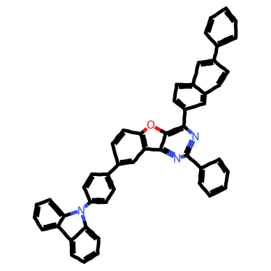 c1ccc(-c2ccc3cc(-c4nc(-c5ccccc5)nc5c4oc4ccc(-c6ccc(-n7c8ccccc8c8ccccc87)cc6)cc45)ccc3c2)cc1